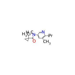 Cc1cc(N(C)C(=O)C2(C)CC2)cnc1C(C)C